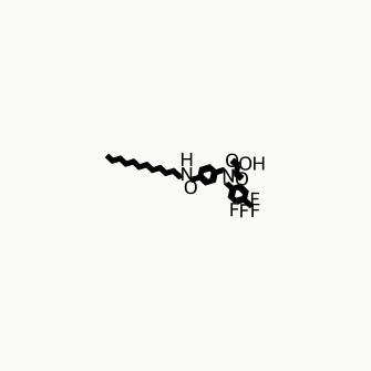 CCCCCCCCCCCCNC(=O)c1ccc(CN(Cc2ccc(C(F)(F)F)c(F)c2)C(=O)C(=O)O)cc1